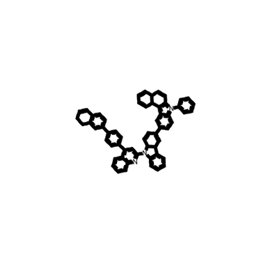 C1=CC2C=Cc3c(c4cc(C5=CC6c7ccccc7N(c7cc(-c8ccc(-c9ccc%10c(c9)CCC=C%10)cc8)c8ccccc8n7)C6C=C5)ccc4n3-c3ccccc3)C2C=C1